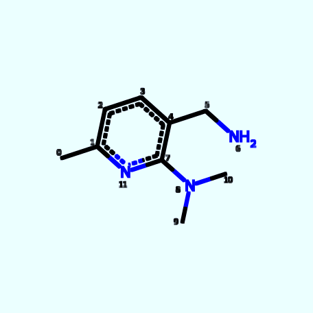 Cc1ccc(CN)c(N(C)C)n1